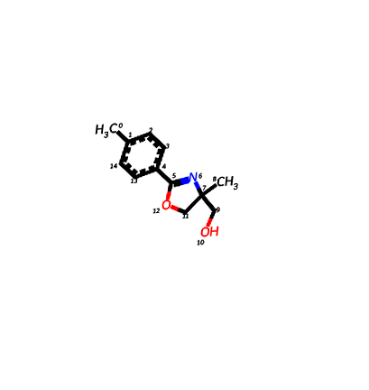 Cc1ccc(C2=NC(C)(CO)CO2)cc1